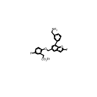 CCOC(=O)Cc1cc(F)ccc1OCc1cc(-c2cccc(CN)c2)c2oc(F)cc2c1